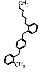 CCCCCCc1ccccc1Cc1ccc(Cc2ccccc2C)cc1